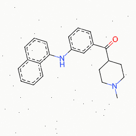 CN1CCC(C(=O)c2cccc(Nc3cccc4ccccc34)c2)CC1